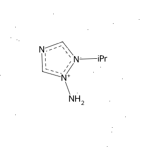 CC(C)n1cnc[n+]1N